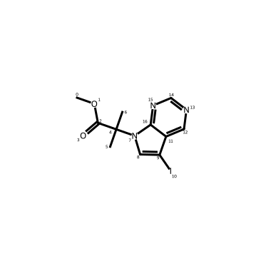 COC(=O)C(C)(C)n1cc(I)c2cncnc21